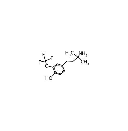 CC(C)(N)CCc1ccc(O)c(OC(F)(F)F)c1